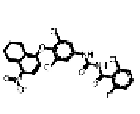 O=C(NC(=O)c1c(F)cccc1Cl)Nc1cc(Cl)c(OC2=C3CCCC=C3C([N+](=O)[O-])C=C2)c(Cl)c1